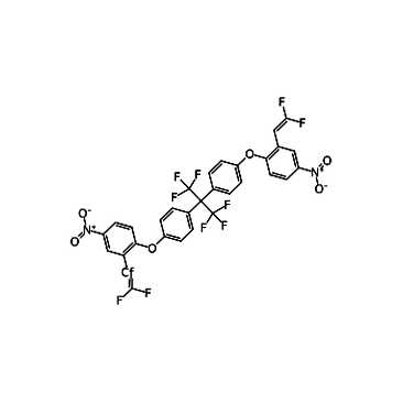 O=[N+]([O-])c1ccc(Oc2ccc(C(c3ccc(Oc4ccc([N+](=O)[O-])c[c]4[Cf]=[C](F)F)cc3)(C(F)(F)F)C(F)(F)F)cc2)c(C=C(F)F)c1